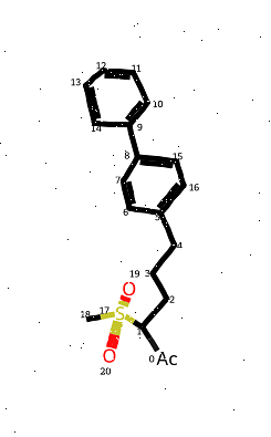 CC(=O)C(CCCc1ccc(-c2ccccc2)cc1)S(C)(=O)=O